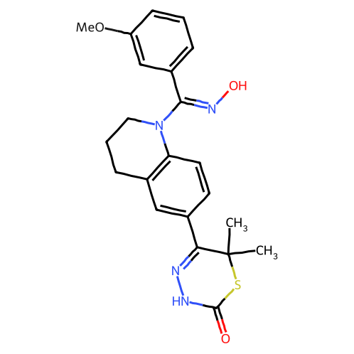 COc1cccc(C(=NO)N2CCCc3cc(C4=NNC(=O)SC4(C)C)ccc32)c1